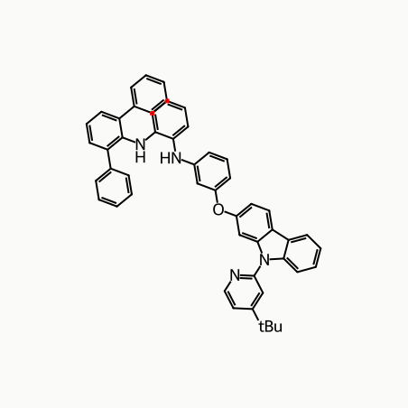 CC(C)(C)c1ccnc(-n2c3ccccc3c3ccc(Oc4cccc(Nc5ccccc5Nc5c(-c6ccccc6)cccc5-c5ccccc5)c4)cc32)c1